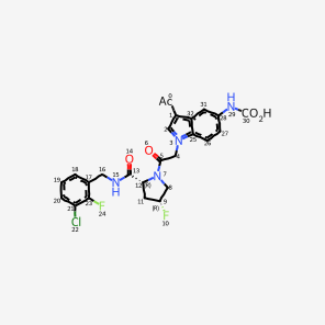 CC(=O)c1cn(CC(=O)N2C[C@H](F)C[C@@H]2C(=O)NCc2cccc(Cl)c2F)c2ccc(NC(=O)O)cc12